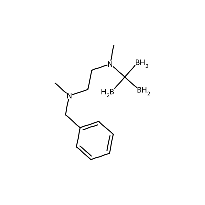 BC(B)(B)N(C)CCN(C)Cc1ccccc1